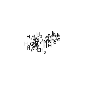 CO[Si](CCCNC(=O)Nc1c(F)c(F)c(F)c(F)c1F)(OC(C)C)OC(C)C